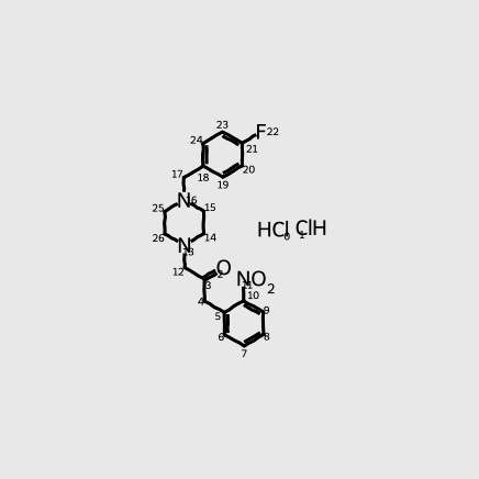 Cl.Cl.O=C(Cc1ccccc1[N+](=O)[O-])CN1CCN(Cc2ccc(F)cc2)CC1